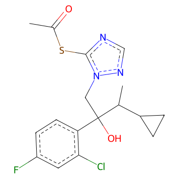 CC(=O)Sc1ncnn1CC(O)(c1ccc(F)cc1Cl)C(C)C1CC1